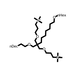 CCCCCCCCCCCCOCC(CCCCCCCOCCCCCC)(COCCC[N+](C)(C)C)COCCC[N+](C)(C)C